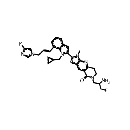 Cn1c(-c2cc3cccc(C=CCn4cnc(F)c4)c3n2CC2CC2)nc2cc3c(nc21)CCN(CC(N)CF)C3=O